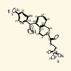 O=C(CCS(=O)(=O)C(F)(F)F)N1CCc2c(cccc2C(O)c2ccc(C(F)(F)F)cn2)C1